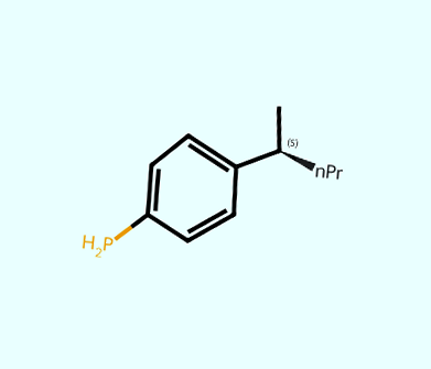 CCC[C@H](C)c1ccc(P)cc1